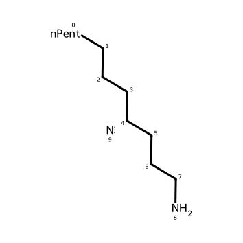 CCCCCCCCCCCCN.[N]